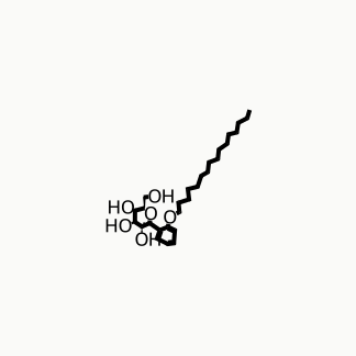 CCCCCCCCCCCCCCCCOc1ccccc1[C]1O[C@H](CO)[C@H](O)[C@H](O)[C@H]1O